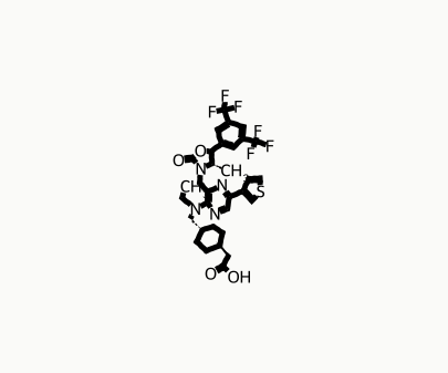 CCN(C[C@H]1CC[C@H](CC(=O)O)CC1)c1ncc(-c2ccsc2)nc1CN1C(=O)OC(c2cc(C(F)(F)F)cc(C(F)(F)F)c2)[C@@H]1C